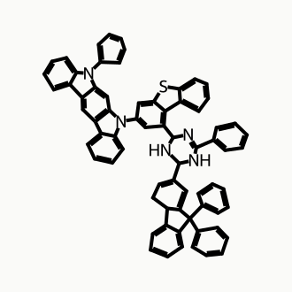 C1=C(C2NC(c3ccccc3)=NC(c3cc(-n4c5ccccc5c5cc6c7ccccc7n(-c7ccccc7)c6cc54)cc4sc5ccccc5c34)N2)C=C2C(C1)c1ccccc1C2(c1ccccc1)c1ccccc1